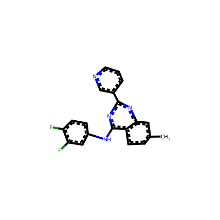 Cc1ccc2c(Nc3ccc(F)c(F)c3)nc(-c3cccnc3)nc2c1